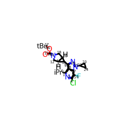 CC(C)c1nc(Cl)c(F)c2c1c(C1[C@H]3CN(C(=O)OC(C)(C)C)C[C@@H]13)nn2C1CC1